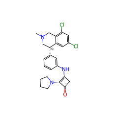 CN1Cc2c(Cl)cc(Cl)cc2[C@H](c2cccc(NC3=C(N4CCCC4)C(=O)C3)c2)C1